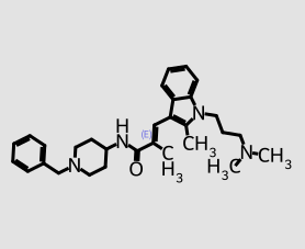 C/C(=C\c1c(C)n(CCCN(C)C)c2ccccc12)C(=O)NC1CCN(Cc2ccccc2)CC1